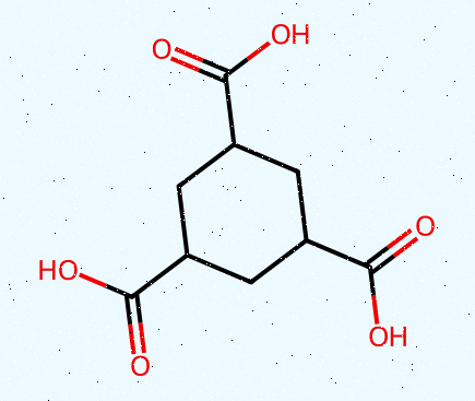 O=C(O)C1CC(C(=O)O)CC(C(=O)O)C1